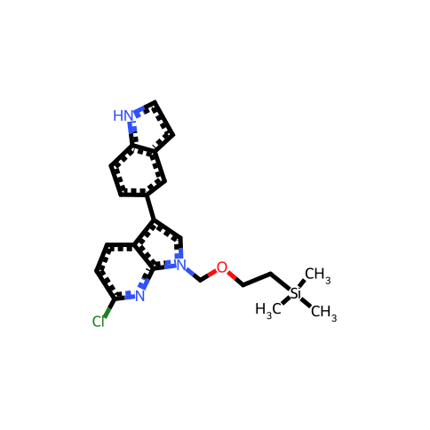 C[Si](C)(C)CCOCn1cc(-c2ccc3[nH]ccc3c2)c2ccc(Cl)nc21